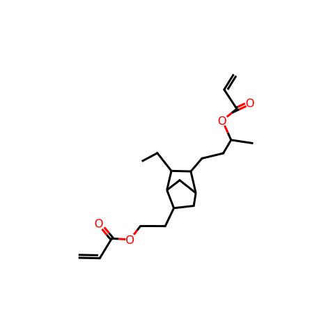 C=CC(=O)OCCC1CC2CC1C(CC)C2CCC(C)OC(=O)C=C